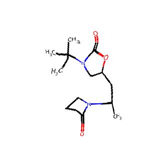 CC(CC1CN(C(C)(C)C)C(=O)O1)N1CCC1=O